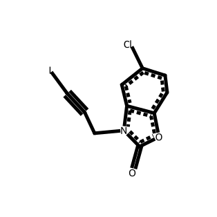 O=c1oc2ccc(Cl)cc2n1CC#CI